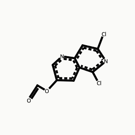 O=COc1cnc2cc(Cl)nc(Cl)c2c1